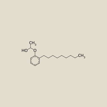 CCCCCCCCCc1ccccc1OC(C)O